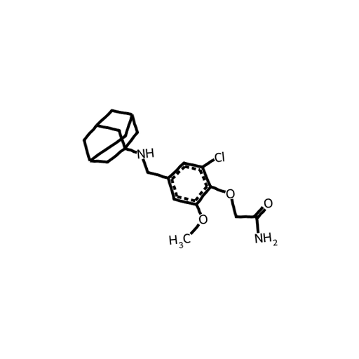 COc1cc(CNC23CC4CC(CC(C4)C2)C3)cc(Cl)c1OCC(N)=O